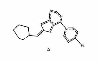 CCc1ccc(-c2cccc3c2=CC(=CC2CCCCC2)[C]=3)cc1.[Zr]